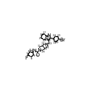 O=C(Nc1ccc(F)cc1)N1CC2CN(Cc3c(-c4ccc(Br)cc4)nc4ccccn34)CC2C1